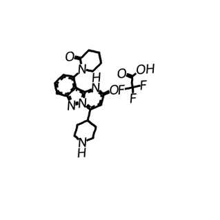 O=C(O)C(F)(F)F.O=C1CCCCN1c1cccc2nn3c(C4CCNCC4)cc(=O)[nH]c3c12